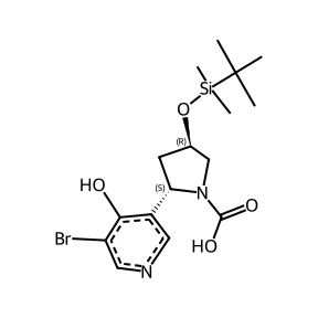 CC(C)(C)[Si](C)(C)O[C@@H]1C[C@@H](c2cncc(Br)c2O)N(C(=O)O)C1